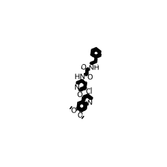 COc1cc2nccc(OC3=C(Cl)CC(NC(=O)C(=O)NCCc4ccccc4)C=N3)c2cc1OC